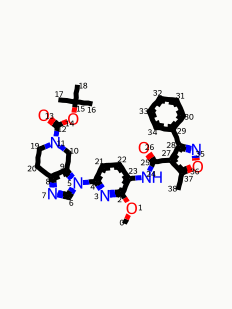 COc1nc(-n2cnc3c2CN(C(=O)OC(C)(C)C)CC3)ccc1NC(=O)c1c(-c2ccccc2)noc1C